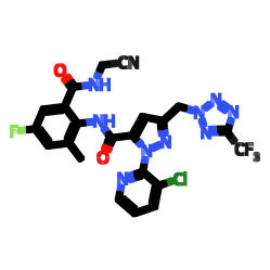 Cc1cc(F)cc(C(=O)NCC#N)c1NC(=O)c1cc(Cn2nnc(C(F)(F)F)n2)nn1-c1ncccc1Cl